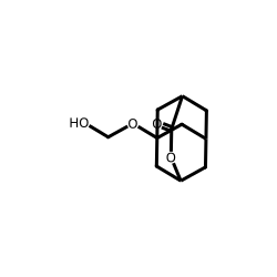 O=C1OC2CC3CC1CC(OCO)(C3)C2